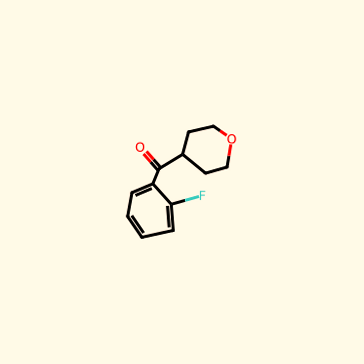 O=C(c1ccccc1F)C1CCOCC1